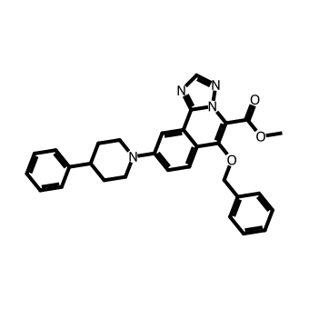 COC(=O)c1c(OCc2ccccc2)c2ccc(N3CCC(c4ccccc4)CC3)cc2c2ncnn12